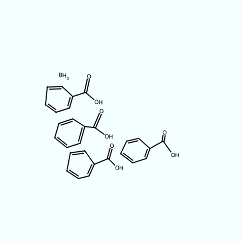 B.O=C(O)c1ccccc1.O=C(O)c1ccccc1.O=C(O)c1ccccc1.O=C(O)c1ccccc1